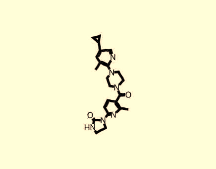 Cc1cc(C2CC2)cnc1N1CCN(C(=O)c2ccc(N3CCNC3=O)nc2C)CC1